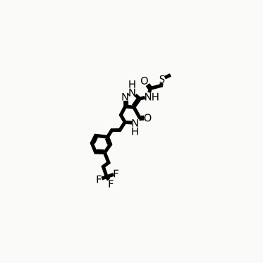 CSCC(=O)Nc1[nH]nc2c1C(=O)NC(CCc1cccc(CCC(F)(F)F)c1)C2